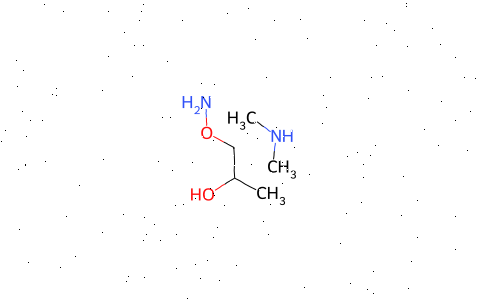 CC(O)CON.CNC